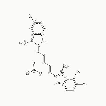 CCCc1c(Cl)ccc2sc(C=CC=CC=C3Sc4ccc(Cl)cc4N3S(=O)(=O)O)[n+](S(=O)(=O)O)c12.CCN(CC)CC